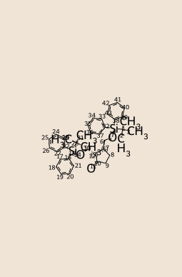 CC(C)(C)[Si](OC[C@H]1CCC(=O)[C@@H]1CO[Si](c1ccccc1)(c1ccccc1)C(C)(C)C)(c1ccccc1)c1ccccc1